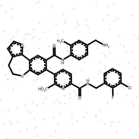 Cc1cc(CN)ccc1NC(=O)c1cc2c(cc1-c1ccc(C(=O)NCc3cccc(Cl)c3F)nc1C(=O)O)OCCc1ccsc1-2